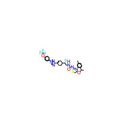 Cc1ccc(C(C)C)c(N2C(=O)CS/C2=N\C(=O)NCC(F)C2CC=C(c3ncn(-c4ccc(OC(F)(F)F)cc4)n3)CC2)c1